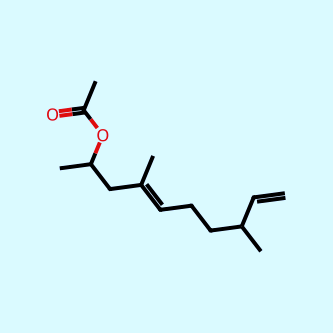 C=CC(C)CC/C=C(\C)CC(C)OC(C)=O